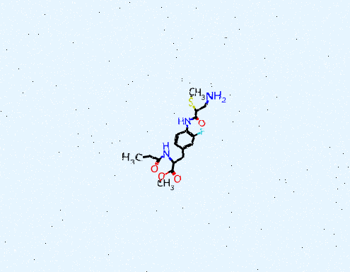 CCC(=O)NC(Cc1ccc(NC(=O)C(CN)SC)c(F)c1)C(=O)OC